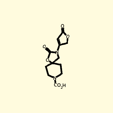 O=C1C=C(N2CC3(CCN(C(=O)O)CC3)OC2=O)CO1